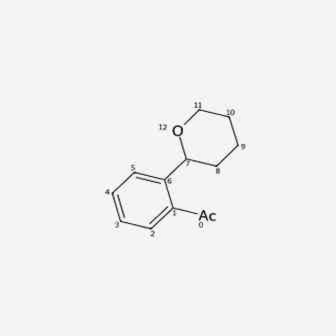 CC(=O)c1ccccc1C1CCCCO1